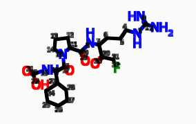 N=C(N)NCCCC(NC(=O)C1CCCN1C(=O)[C@@H](NC(=O)O)C1CCCCC1)C(=O)CF